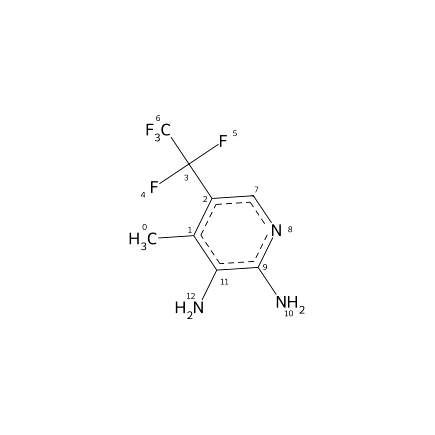 Cc1c(C(F)(F)C(F)(F)F)cnc(N)c1N